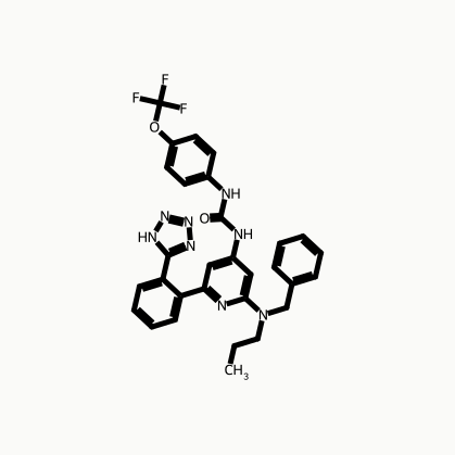 CCCN(Cc1ccccc1)c1cc(NC(=O)Nc2ccc(OC(F)(F)F)cc2)cc(-c2ccccc2-c2nnn[nH]2)n1